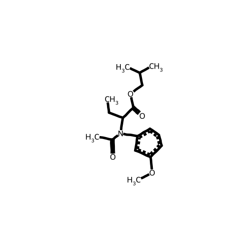 CCC(C(=O)OCC(C)C)N(C(C)=O)c1cccc(OC)c1